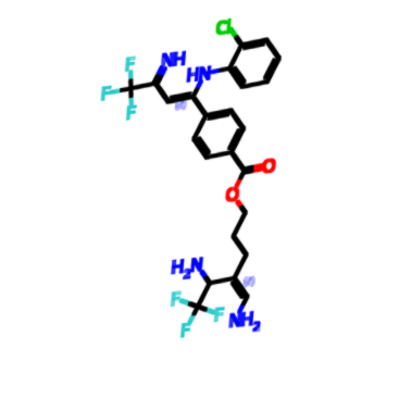 N=C(/C=C(\Nc1ccccc1Cl)c1ccc(C(=O)OCCC/C(=C/N)C(N)C(F)(F)F)cc1)C(F)(F)F